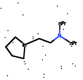 CCCN(CCC)C[CH2][In]1[CH2]CC[CH2]1